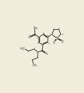 CCCN(CCC)C(=O)c1cc(C(=O)O)cc(N2CCCS2(=O)=O)c1